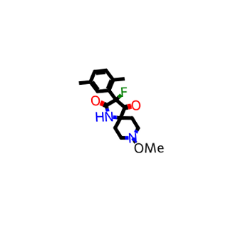 CON1CCC2(CC1)NC(=O)C(F)(c1cc(C)ccc1C)C2=O